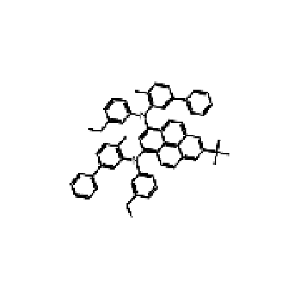 CCc1cccc(N(c2cc(-c3ccccc3)ccc2C)c2cc(N(c3cccc(CC)c3)c3cc(-c4ccccc4)ccc3C)c3ccc4cc(C(C)(C)C)cc5ccc2c3c54)c1